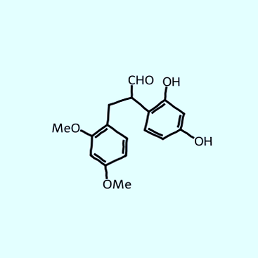 COc1ccc(CC(C=O)c2ccc(O)cc2O)c(OC)c1